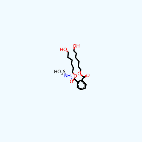 NS(=O)(=O)O.O=C(OCCCCCCO)c1ccccc1C(=O)OCCCCCCO